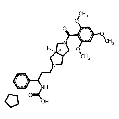 C1CCCC1.COc1cc(OC)c(C(=O)N2CC3CN(CCC(NC(=O)O)c4ccccc4)C[C@H]3C2)c(OC)c1